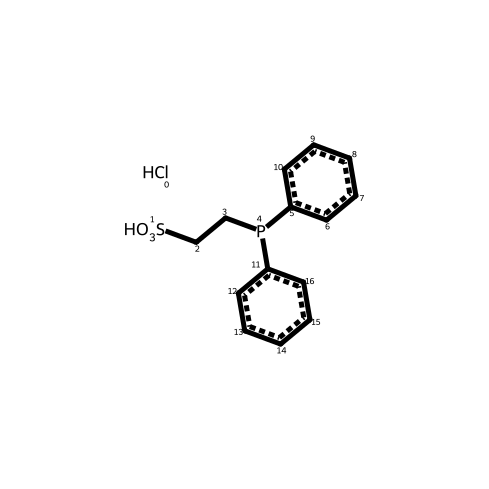 Cl.O=S(=O)(O)CCP(c1ccccc1)c1ccccc1